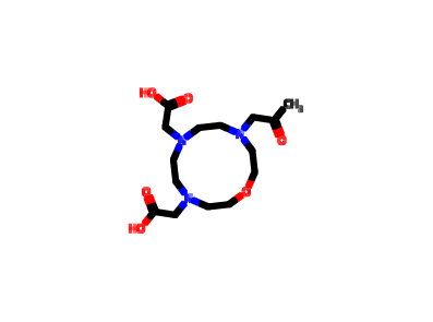 CC(=O)CN1CCOCCN(CC(=O)O)CCN(CC(=O)O)CC1